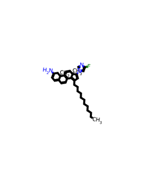 CCCCCCCCCCCCC1=C2C3=C(C=C[C@]2(C)C(n2cnc(F)c2)=C1)[C@]1(C)CC(N)=CC=C1C=C3